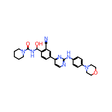 N#Cc1cc(-c2ccnc(Nc3ccc(N4CCOCC4)cc3)n2)ccc1C(O)NC(=O)N1CCCCC1